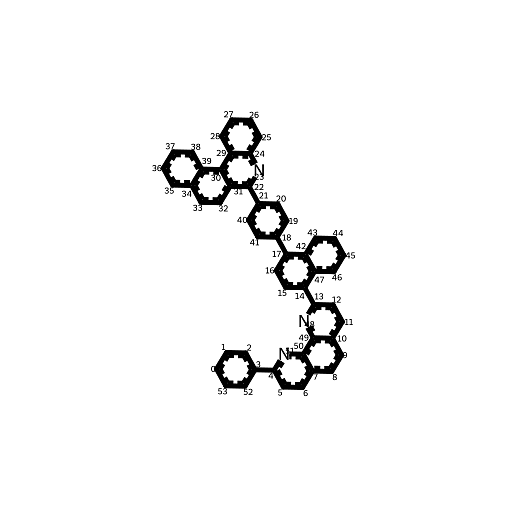 c1ccc(-c2ccc3ccc4ccc(-c5ccc(-c6ccc(-c7nc8ccccc8c8c7ccc7ccccc78)cc6)c6ccccc56)nc4c3n2)cc1